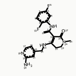 C=C(Nc1cc(F)ccc1F)C1=C(NCc2ccnc(N)c2)CCN(C)C1=O